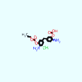 C=CCOC(=O)Oc1cc(Cc2ccc(N)c(OC(=O)O)c2)ccc1N.Cl